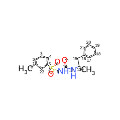 Cc1cccc(S(=O)(=O)NC(=O)NC(C)Cc2ccccc2)c1